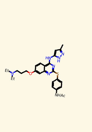 CCN(CC)CCCOc1ccc2c(Nc3cc(C)n[nH]3)nc(Sc3ccc(NC(C)=O)cc3)nc2c1